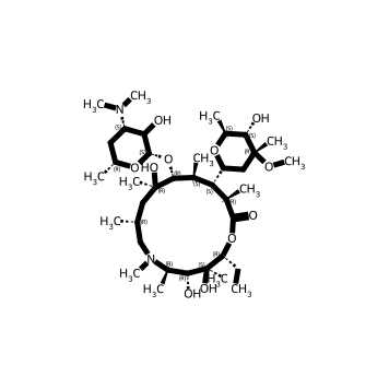 CC[C@H]1OC(=O)[C@H](C)[C@@H](C2C[C@@](C)(OC)[C@@H](O)[C@H](C)O2)[C@H](C)[C@@H](O[C@@H]2O[C@H](C)C[C@H](N(C)C)C2O)[C@](C)(O)C[C@@H](C)CN(C)[C@H](C)[C@@H](O)[C@]1(C)O